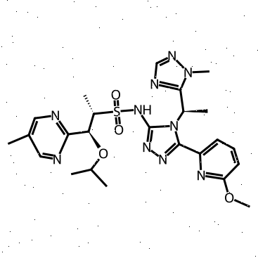 COc1cccc(-c2nnc(NS(=O)(=O)[C@@H](C)[C@@H](OC(C)C)c3ncc(C)cn3)n2[C@H](C)c2ncnn2C)n1